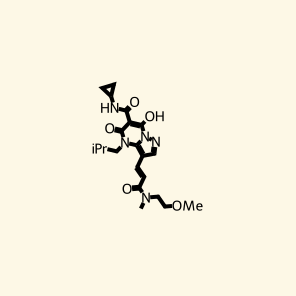 COCCN(C)C(=O)C=Cc1cnn2c(O)c(C(=O)NC3CC3)c(=O)n(CC(C)C)c12